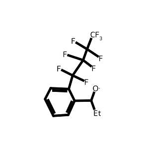 CCC([O])c1ccccc1C(F)(F)C(F)(F)C(F)(F)C(F)(F)F